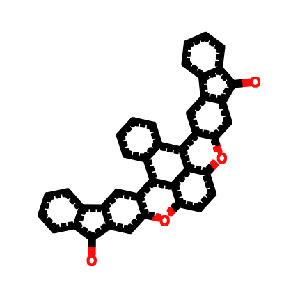 O=c1c2ccccc2c2cc3c(cc12)oc1ccc2oc4cc5c(=O)c6ccccc6c5cc4c4c5ccccc5c3c1c24